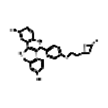 CCC1CN(CCOc2ccc(C3Oc4ccc(O)cc4C(C)=C3c3ccc(O)cc3F)cc2)C1